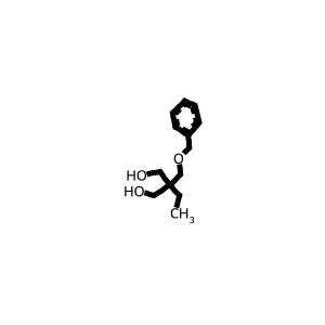 CCC(CO)(CO)COCc1ccccc1